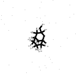 CC12CC(F)(CF)C(F)(F)C(F)(C(F)(F)C(O)(F)C1(F)F)C2(F)F